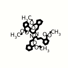 CCOC(=O)c1ccccc1C=Cc1nc(C=Cc2ccccc2C(=O)OCC)c(C=Cc2ccccc2C(=O)OCC)nc1C=Cc1ccccc1C(=O)OCC